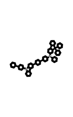 c1ccc(-c2ccc(-n3c4ccccc4c4cc(-c5ccc(-c6ccc(N(c7ccccc7)c7ccc8c(c7)C(c7ccccc7)(c7ccccc7)c7ccccc7-8)cc6)cc5)ccc43)cc2)cc1